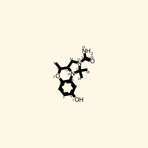 CC1Oc2ccc(O)cc2N2C1CN(C(N)=O)C2(C)C